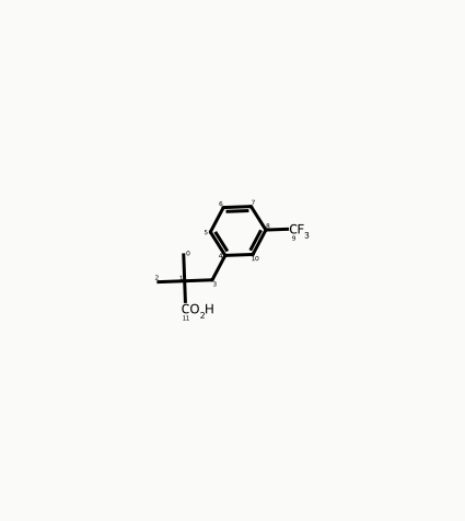 CC(C)(Cc1cccc(C(F)(F)F)c1)C(=O)O